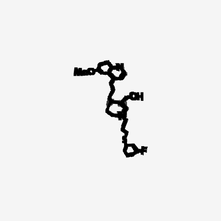 COc1ccc2nccc(CCC[C@@H]3CCN(CCCSc4cccc(F)c4)C[C@@H]3CO)c2c1